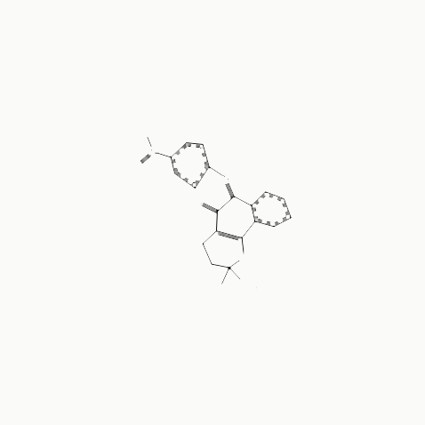 CC1(C)CCC2=C(O1)c1ccccc1C(=Nc1ccc([N+](=O)[O-])cc1)C2=O